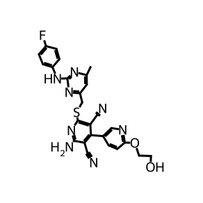 Cc1cc(CSc2nc(N)c(C#N)c(-c3ccc(OCCO)nc3)c2C#N)nc(Nc2ccc(F)cc2)n1